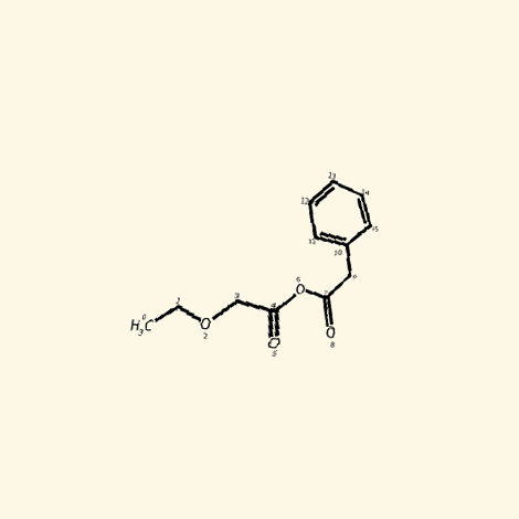 C[CH]OCC(=O)OC(=O)Cc1ccccc1